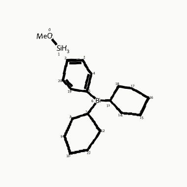 CO[SiH3].c1cc[c]([Bi]([CH]2CCCCC2)[CH]2CCCCC2)cc1